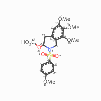 COc1ccc(S(=O)(=O)N2Cc3c(cc(OC)c(OC)c3OC)CC2OC(=O)O)cc1